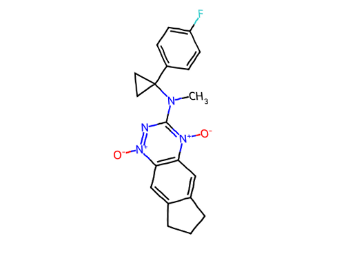 CN(c1n[n+]([O-])c2cc3c(cc2[n+]1[O-])CCC3)C1(c2ccc(F)cc2)CC1